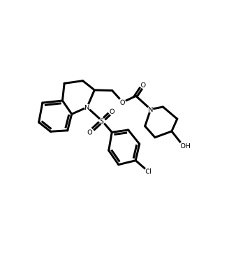 O=C(OCC1CCc2ccccc2N1S(=O)(=O)c1ccc(Cl)cc1)N1CCC(O)CC1